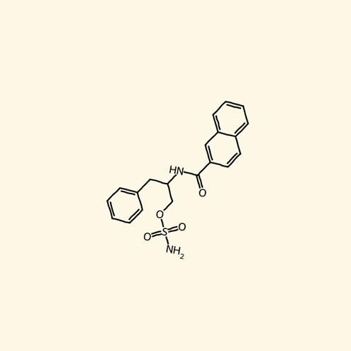 NS(=O)(=O)OCC(Cc1ccccc1)NC(=O)c1ccc2ccccc2c1